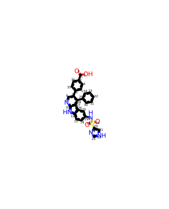 O=C(O)c1ccc(-c2cnc3[nH]c4ccc(NS(=O)(=O)c5c[nH]cn5)cc4c3c2-c2ccccc2)cc1